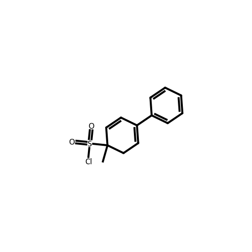 CC1(S(=O)(=O)Cl)C=CC(c2ccccc2)=CC1